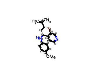 C=C(C)CC[C@@H](Nc1ccc(OC)cc1)c1ccncc1Br